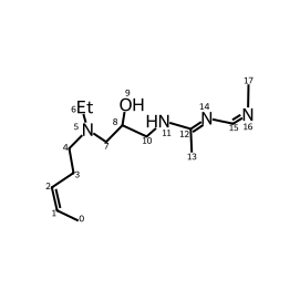 C/C=C\CCN(CC)CC(O)CN/C(C)=N/C=N\C